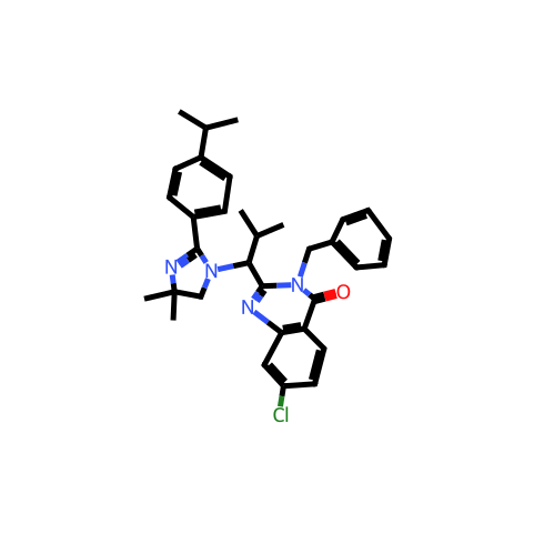 CC(C)c1ccc(C2=NC(C)(C)CN2C(c2nc3cc(Cl)ccc3c(=O)n2Cc2ccccc2)C(C)C)cc1